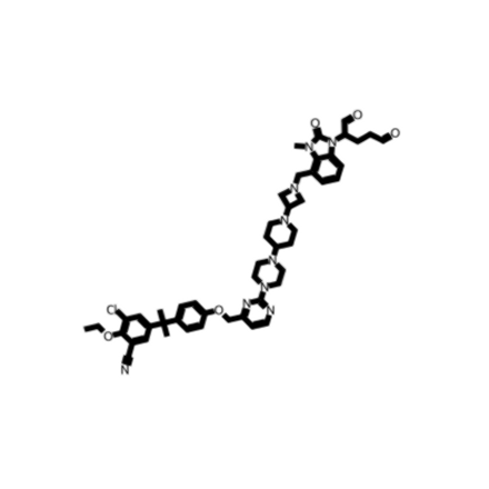 CCOc1c(Cl)cc(C(C)(C)c2ccc(OCc3ccnc(N4CCN(C5CCN(C6CN(Cc7cccc8c7n(C)c(=O)n8C(C=O)CCC=O)C6)CC5)CC4)n3)cc2)cc1C#N